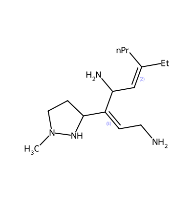 CCC/C(=C\C(N)/C(=C\CN)C1CCN(C)N1)CC